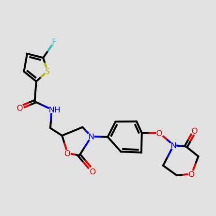 O=C(NCC1CN(c2ccc(ON3CCOCC3=O)cc2)C(=O)O1)c1ccc(F)s1